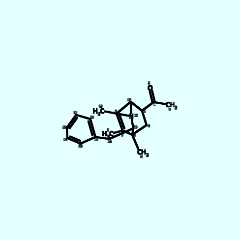 CC(=O)C1CC2(C)C(C)=CC1N(C)C2Cc1ccccc1